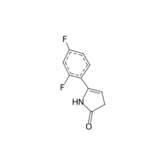 O=C1CC=C(c2ccc(F)cc2F)N1